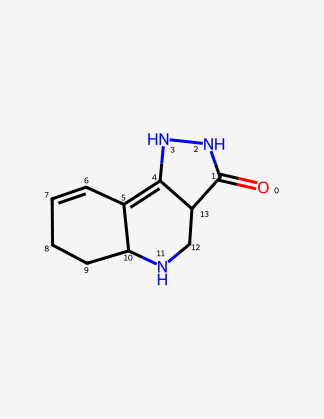 O=C1NNC2=C3C=CCCC3NCC12